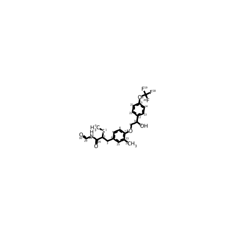 CSC(Cc1ccc(OCC(O)c2ccc(OC(F)(F)F)cc2)c(C)c1)C(=O)NC=O